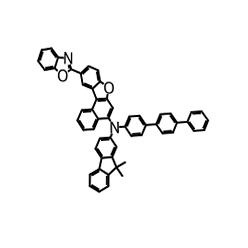 CC1(C)c2ccccc2-c2ccc(N(c3ccc(-c4ccc(-c5ccccc5)cc4)cc3)c3cc4oc5ccc(-c6nc7ccccc7o6)cc5c4c4ccccc34)cc21